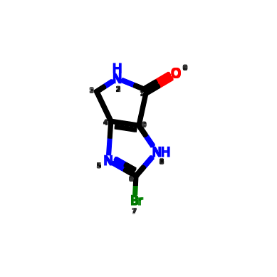 O=C1NCc2nc(Br)[nH]c21